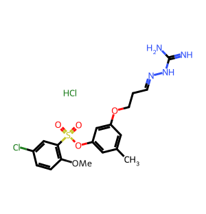 COc1ccc(Cl)cc1S(=O)(=O)Oc1cc(C)cc(OCCC=NNC(=N)N)c1.Cl